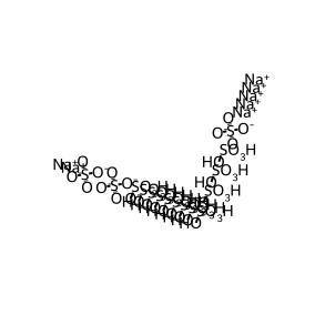 O=S(=O)(O)O.O=S(=O)(O)O.O=S(=O)(O)O.O=S(=O)(O)O.O=S(=O)(O)O.O=S(=O)(O)O.O=S(=O)(O)O.O=S(=O)(O)O.O=S(=O)(O)O.O=S(=O)(O)O.O=S(=O)(O)O.O=S(=O)([O-])O.O=S(=O)([O-])[O-].O=S(=O)([O-])[O-].O=S(=O)([O-])[O-].[Na+].[Na+].[Na+].[Na+].[Na+].[Na+].[Na+]